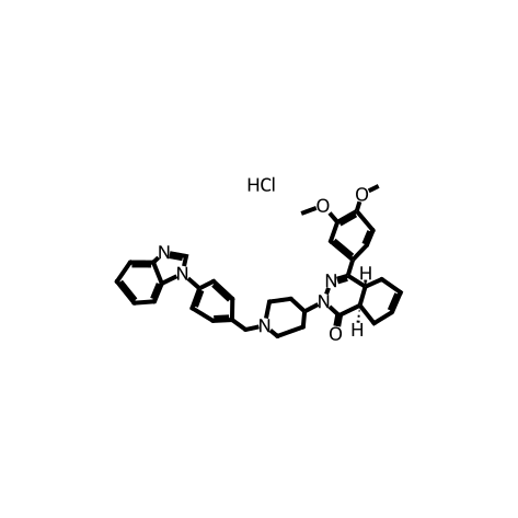 COc1ccc(C2=NN(C3CCN(Cc4ccc(-n5cnc6ccccc65)cc4)CC3)C(=O)[C@@H]3CC=CC[C@H]23)cc1OC.Cl